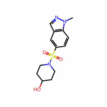 Cn1ncc2cc(S(=O)(=O)N3CCC(O)CC3)ccc21